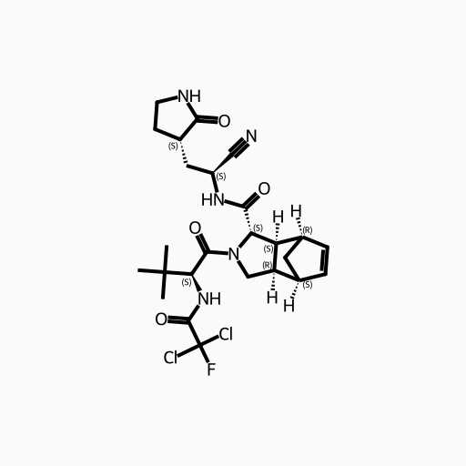 CC(C)(C)[C@H](NC(=O)C(F)(Cl)Cl)C(=O)N1C[C@H]2[C@@H]([C@H]1C(=O)N[C@H](C#N)C[C@@H]1CCNC1=O)[C@H]1C=C[C@@H]2C1